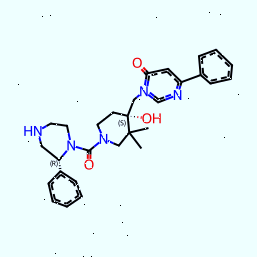 CC1(C)CN(C(=O)N2CCNC[C@H]2c2ccccc2)CC[C@@]1(O)Cn1cnc(-c2ccccc2)cc1=O